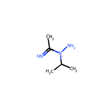 CC(=N)N(N)C(C)C